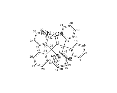 NC(O)C(C(c1ccccc1)(c1ccccc1)c1ccccc1)C(c1ccccc1)(c1ccccc1)c1ccccc1